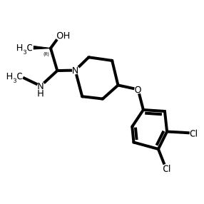 CNC([C@@H](C)O)N1CCC(Oc2ccc(Cl)c(Cl)c2)CC1